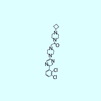 O=C(CN1CCN(c2cnc(-c3cccc(Cl)c3Cl)cn2)CC1)N1CCN(C2CCC2)CC1